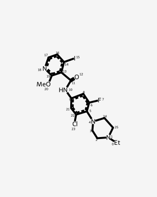 CCN1CCN(c2c(F)cc(NC(=O)c3c(I)ccnc3OC)cc2Cl)CC1